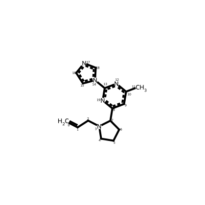 C=CCN1CCCC1c1cc(C)nc(-n2ccnc2)n1